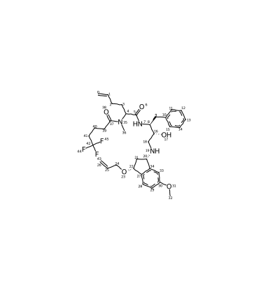 C=CCCC(C(=O)N[C@@H](Cc1ccccc1)[C@H](O)CN[C@H]1C[C@@H](OCC=C)c2ccc(OC)cc21)N(C)C(=O)CCCC(F)(F)F